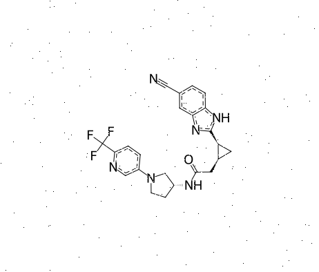 N#Cc1ccc2[nH]c([C@H]3C[C@H]3CC(=O)N[C@@H]3CCN(c4ccc(C(F)(F)F)nc4)C3)nc2c1